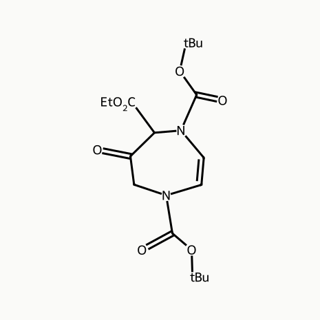 CCOC(=O)C1C(=O)CN(C(=O)OC(C)(C)C)C=CN1C(=O)OC(C)(C)C